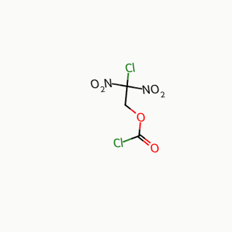 O=C(Cl)OCC(Cl)([N+](=O)[O-])[N+](=O)[O-]